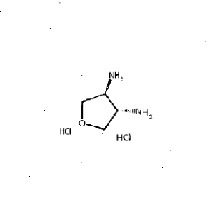 Cl.Cl.N[C@@H]1COC[C@H]1N